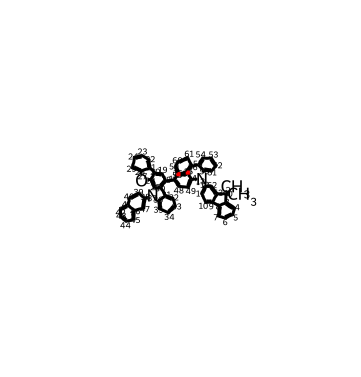 CC1(C)c2ccccc2-c2ccc(N(c3ccc(-c4cc5c6ccccc6oc5c5c4c4ccccc4n5-c4ccc5ccccc5c4)cc3)c3ccccc3-c3ccccc3)cc21